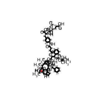 CO[C@H]1C[C@H]2CC[C@@]2(OC(C)=O)[C@H]2[C@H](OC(=O)c3ccccc3)[C@]3(O)C[C@H](OC(=O)[C@H](OC(=O)CCC(=O)Nc4ccc(C[C@H](NC(=O)N[C@@H](CCC(=O)O)OC=O)C(=O)O)cc4)[C@@H](NC(=O)OC(C)(C)C)c4ccccc4)C(C)=C([C@@H](C)C(=O)[C@]12C)C3(C)C